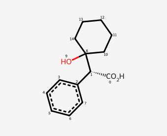 O=C(O)[C@H](c1ccccc1)C1(O)CCCCC1